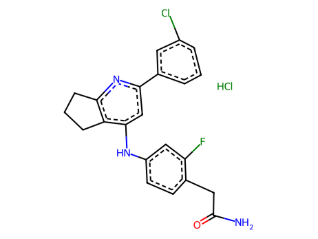 Cl.NC(=O)Cc1ccc(Nc2cc(-c3cccc(Cl)c3)nc3c2CCC3)cc1F